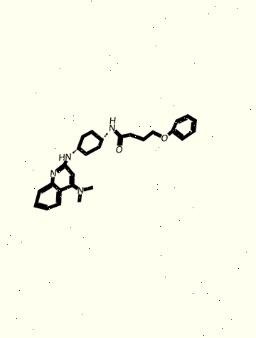 CN(C)c1cc(N[C@H]2CC[C@@H](NC(=O)CCCOc3ccccc3)CC2)nc2ccccc12